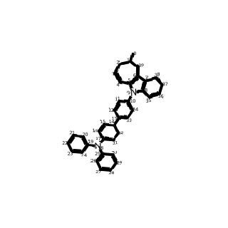 CC1CC=Cc2c(c3c(n2-c2ccc(C4C=CC(N(c5ccccc5)c5ccccc5)=CC4)cc2)C=CCC3)C1